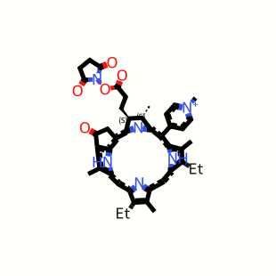 CCC1=C(C)c2cc3[nH]c(c(C)c3CC)c(-c3cc[n+](C)cc3)c3nc(c4c5[nH]c(cc1n2)c(C)c5C(=O)C4)[C@@H](CCC(=O)ON1C(=O)CCC1=O)[C@@H]3C